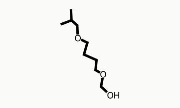 CC(C)COCCCCOCO